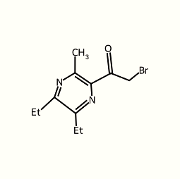 CCc1nc(C)c(C(=O)CBr)nc1CC